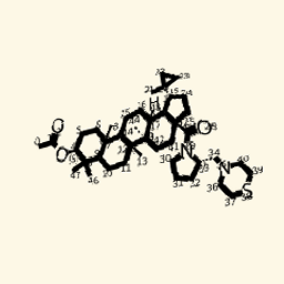 CC(=O)O[C@H]1CC[C@@]2(C)C(CC[C@]3(C)C2CC[C@@H]2C4[C@H](C5(C)CC5)CC[C@]4(C(=O)N4CCC[C@H]4CN4CCSCC4)CC[C@]23C)C1(C)C